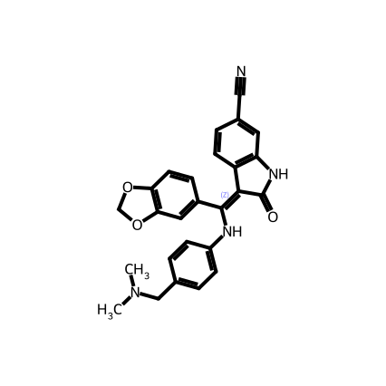 CN(C)Cc1ccc(N/C(=C2\C(=O)Nc3cc(C#N)ccc32)c2ccc3c(c2)OCO3)cc1